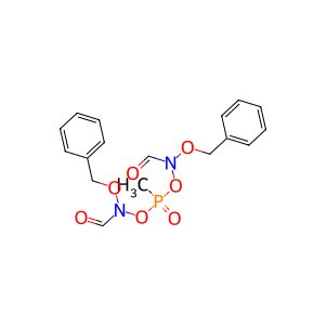 CP(=O)(ON(C=O)OCc1ccccc1)ON(C=O)OCc1ccccc1